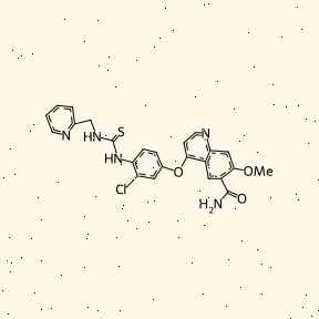 COc1cc2nccc(Oc3ccc(NC(=S)NCc4ccccn4)c(Cl)c3)c2cc1C(N)=O